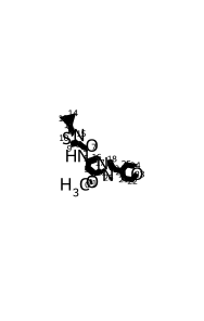 COc1cc(NC(=O)c2csc(C3CC3)n2)cn2cc(C3CCOCC3)nc12